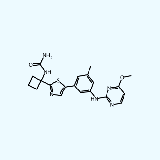 COc1ccnc(Nc2cc(C)cc(-c3cnc(C4(NC(N)=O)CCC4)s3)c2)n1